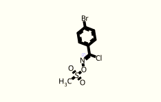 CS(=O)(=O)O/N=C(\Cl)c1ccc(Br)cc1